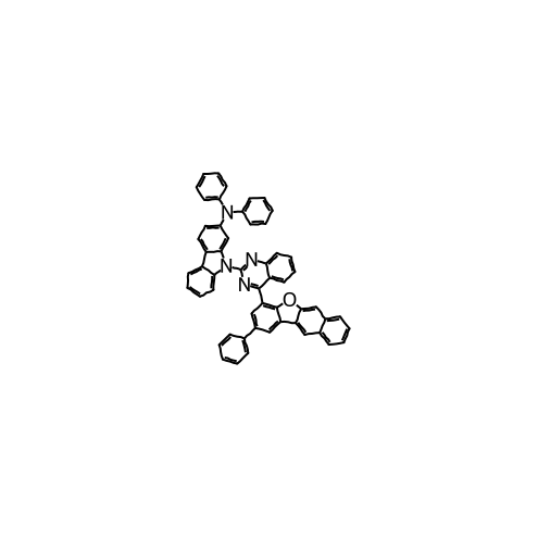 c1ccc(-c2cc(-c3nc(-n4c5ccccc5c5ccc(N(c6ccccc6)c6ccccc6)cc54)nc4ccccc34)c3oc4cc5ccccc5cc4c3c2)cc1